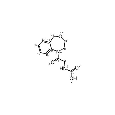 O=C(O)NCC(=O)N1CCOCc2ccccc21